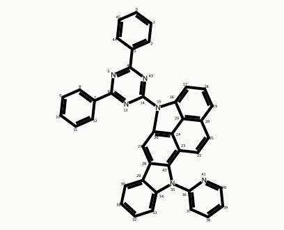 c1ccc(-c2nc(-c3ccccc3)nc(-n3c4cccc5ccc6c(c54)c3cc3c4ccccc4n(-c4ccccn4)c36)n2)cc1